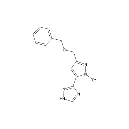 CCn1nc(COCc2ccccc2)cc1-c1nc[nH]n1